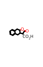 O=C(O)C1C(=O)OC2Cc3ccccc3CC21